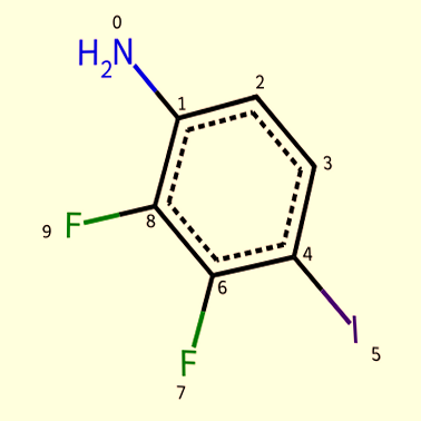 Nc1ccc(I)c(F)c1F